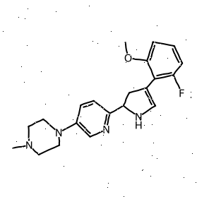 COc1cccc(F)c1C1=CNC(c2ccc(N3CCN(C)CC3)cn2)C1